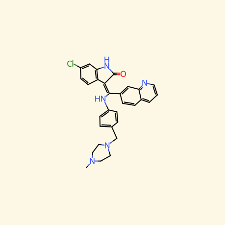 CN1CCN(Cc2ccc(NC(=C3C(=O)Nc4cc(Cl)ccc43)c3ccc4cccnc4c3)cc2)CC1